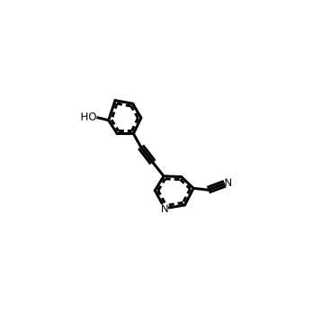 N#Cc1cncc(C#Cc2cccc(O)c2)c1